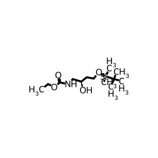 CCOC(=O)NC[C@H](O)CCO[Si](C)(C)C(C)(C)C